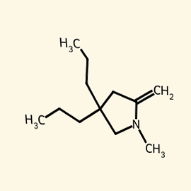 C=C1CC(CCC)(CCC)CN1C